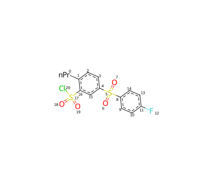 CCCc1ccc(S(=O)(=O)c2ccc(F)cc2)cc1S(=O)(=O)Cl